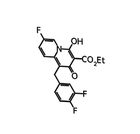 CCOC(=O)c1c(O)n2cc(F)ccc2c(Cc2ccc(F)c(F)c2)c1=O